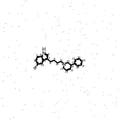 Fc1ccc2[nH]cc(CCCCN3CC=CC(c4ccccc4)C3)c2c1